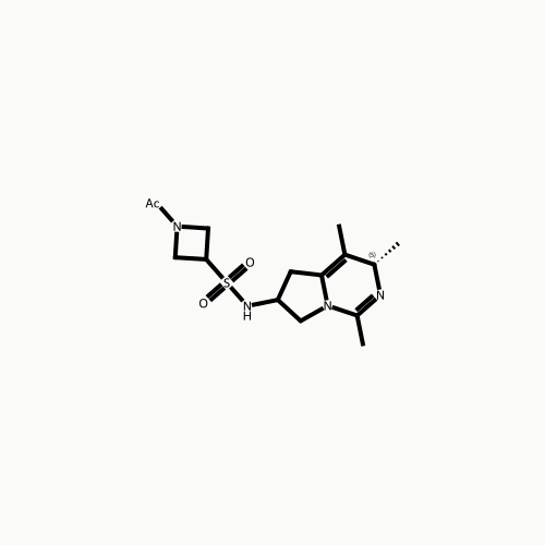 CC(=O)N1CC(S(=O)(=O)NC2CC3=C(C)[C@H](C)N=C(C)N3C2)C1